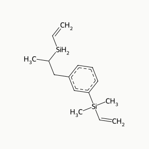 C=C[SiH2]C(C)Cc1cccc([Si](C)(C)C=C)c1